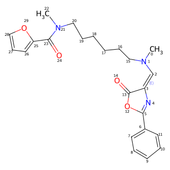 CN(/C=C1/N=C(c2ccccc2)OC1=O)CCCCCCN(C)C(=O)c1ccco1